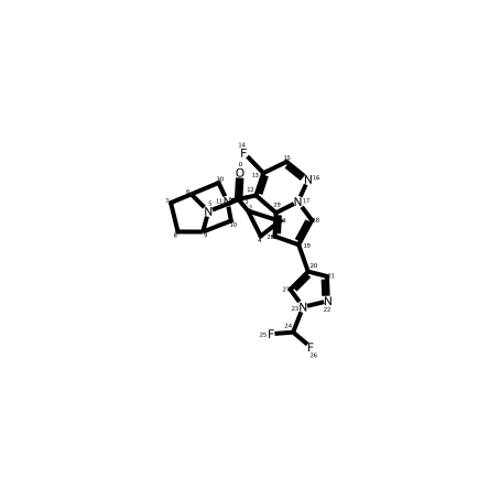 O=C(C1CC1)N1C2CCC1CN(c1c(F)cnn3cc(-c4cnn(C(F)F)c4)cc13)C2